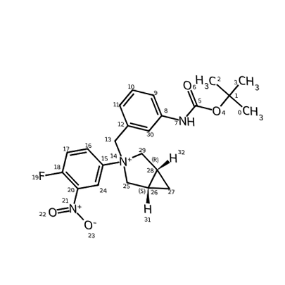 CC(C)(C)OC(=O)Nc1cccc(C[N+]2(c3ccc(F)c([N+](=O)[O-])c3)C[C@H]3C[C@H]3C2)c1